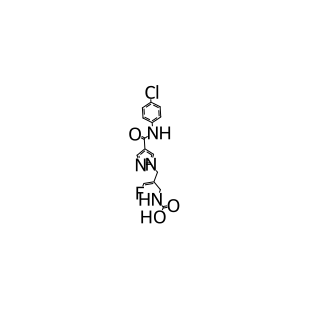 O=C(O)NCC(=CF)Cn1cc(C(=O)Nc2ccc(Cl)cc2)cn1